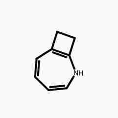 C1=CNC2=C(C=C1)CC2